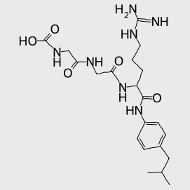 CC(C)Cc1ccc(NC(=O)C(CCCNC(=N)N)NC(=O)CNC(=O)CNC(=O)O)cc1